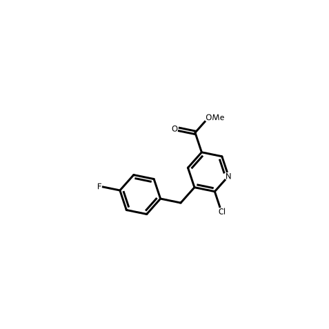 COC(=O)c1cnc(Cl)c(Cc2ccc(F)cc2)c1